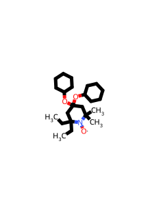 CCC1(CC)CC(OC2CCCCC2)(OC2CCCCC2)CC(C)(C)N1[O]